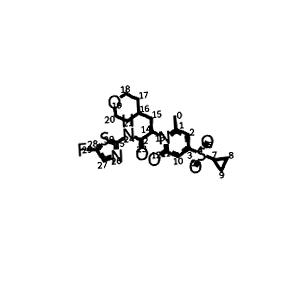 Cc1cc(S(=O)(=O)C2CC2)cc(=O)n1C(CC1CCOCC1)C(=O)Nc1ncc(F)s1